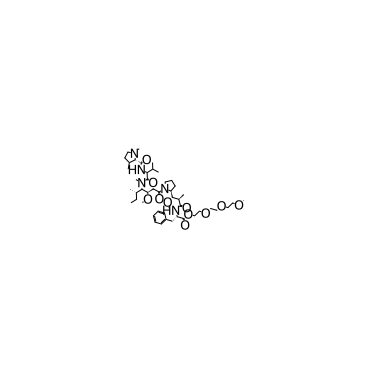 CC[C@H](C)[C@@H]([C@@H](CC(=O)N1CCC[C@H]1C(OC)[C@@H](C)C(=O)N[C@@H](Cc1ccccc1)C(=O)OCCOCCOCCOC)OC)N(C)C(=O)[C@@H](NC(=O)[C@@H]1C(C)CCN1C)C(C)C